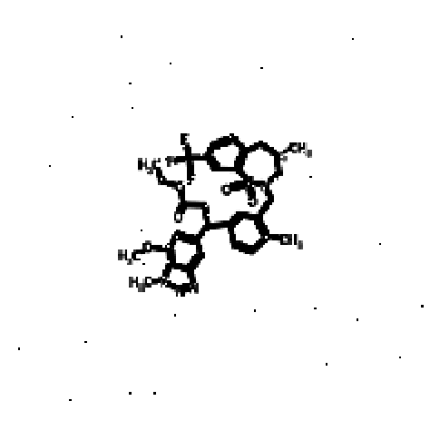 CCOC(=O)CC(c1ccc(C)c(CN2C[C@@H](C)Cc3ccc(C(F)(F)F)cc3S2(=O)=O)c1)c1cc(OC)c2c(c1)nnn2C